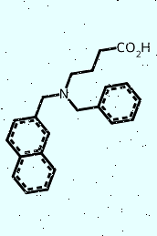 O=C(O)CCCN(Cc1ccccc1)Cc1ccc2ccccc2c1